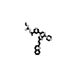 CCOC(=O)O/N=C(/C)c1cncc(-c2cnc(N3CCOCC3)c3nc(/C=C/c4ccc5ccccc5n4)cn23)c1